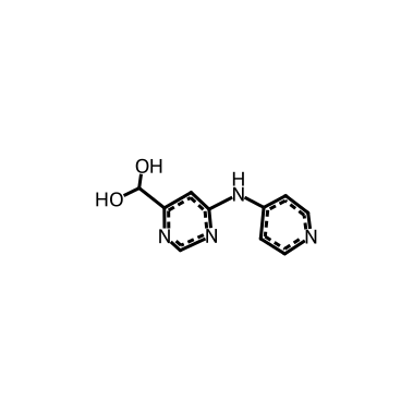 OC(O)c1cc(Nc2ccncc2)ncn1